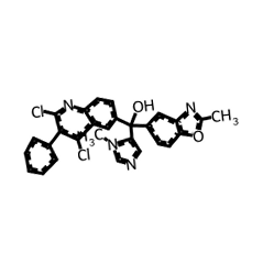 Cc1nc2cc(C(O)(c3ccc4nc(Cl)c(-c5ccccc5)c(Cl)c4c3)c3cncn3C)ccc2o1